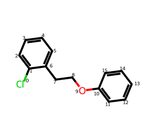 Clc1ccccc1CCOc1cc[c]cc1